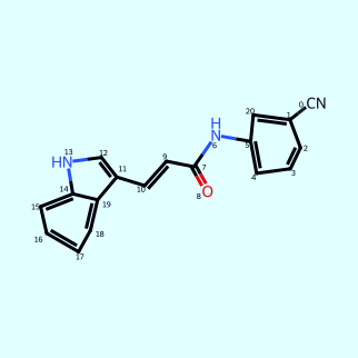 N#Cc1cccc(NC(=O)/C=C/c2c[nH]c3ccccc23)c1